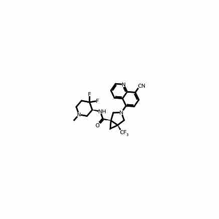 CN1CCC(F)(F)[C@@H](NC(=O)[C@@]23CN(c4ccc(C#N)c5ncccc45)C[C@]2(C(F)(F)F)C3)C1